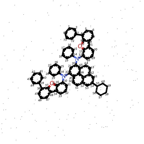 c1ccc(-c2cccc3c2oc2c(N(c4ccccc4)c4cc(N(c5ccccc5)c5cccc6c5oc5c(-c7ccccc7)cccc56)c5ccc6cc(C7CCCCC7)cc7ccc4c5c76)cccc23)cc1